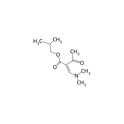 CC(=O)/C(=C\N(C)C)C(=O)OCC(C)C